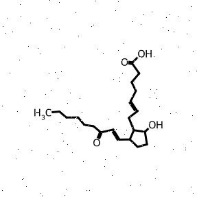 CCCCCCC(=O)C=CC1CCC(O)C1CC=CCCCC(=O)O